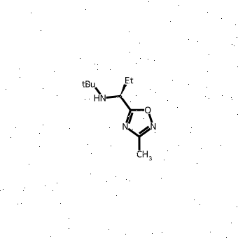 CC[C@H](NC(C)(C)C)c1nc(C)no1